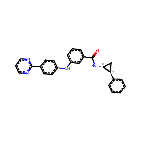 O=C(N[C@@H]1C[C@H]1c1ccccc1)c1cccc(Nc2ccc(-c3ncccn3)cc2)c1